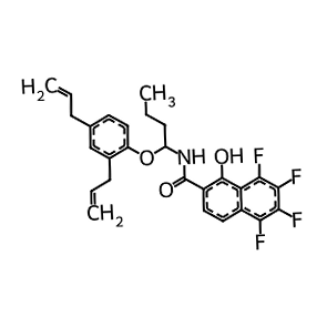 C=CCc1ccc(OC(CCC)NC(=O)c2ccc3c(F)c(F)c(F)c(F)c3c2O)c(CC=C)c1